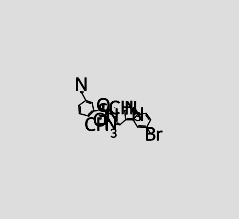 Cc1ccc(C#N)cc1S(=O)(=O)N(C)/N=C\c1cnn2ccc(Br)cc12